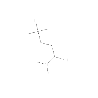 CC([CH]CC(F)(F)F)N(C)C